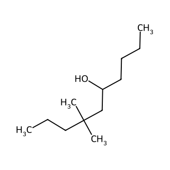 CCCCC(O)CC(C)(C)CCC